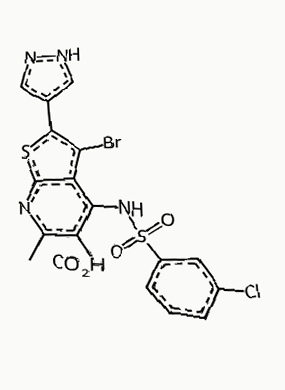 Cc1nc2sc(-c3cn[nH]c3)c(Br)c2c(NS(=O)(=O)c2cccc(Cl)c2)c1C(=O)O